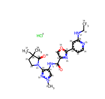 Cl.Cn1cc(NC(=O)c2coc(-c3ccnc(NCC(F)(F)F)c3)n2)c(N2CCC(C)(C)C2=O)n1